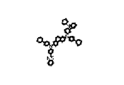 c1ccc(-c2ccc(N(c3ccc(-c4nc5ccccc5s4)cc3)c3ccc4c(ccc5cc(N(c6ccc(-c7ccccc7)cc6)c6ccc7c(c6)c6ccccc6n7-c6ccccc6)ccc54)c3)cc2)cc1